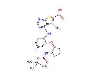 Cc1c(C(=O)O)sc2ncnc(Nc3ccc(F)cc3O[C@H]3CCC[C@@H]3NC(=O)OC(C)(C)C)c12